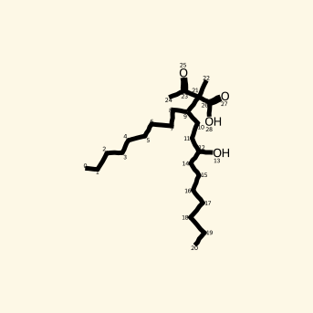 CCCCCCCCCC(CCC(O)CCCCCCC)C(C)(C(C)=O)C(=O)O